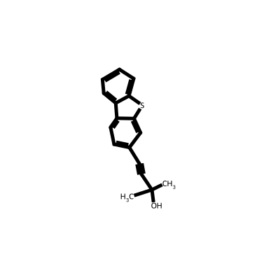 CC(C)(O)C#Cc1ccc2c(c1)sc1ccccc12